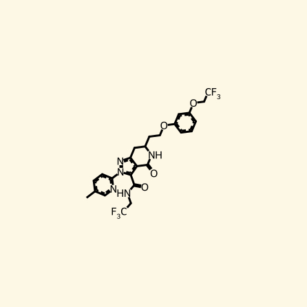 Cc1ccc(-n2nc3c(c2C(=O)NCC(F)(F)F)C(=O)NC(CCOc2cccc(OCC(F)(F)F)c2)C3)nc1